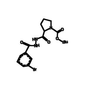 CC(C)(C)OC(=O)N1CCCC1C(=O)NNC(=O)c1cccc(Br)c1